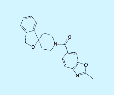 Cc1nc2ccc(C(=O)N3CCC4(CC3)OCc3ccccc34)cc2o1